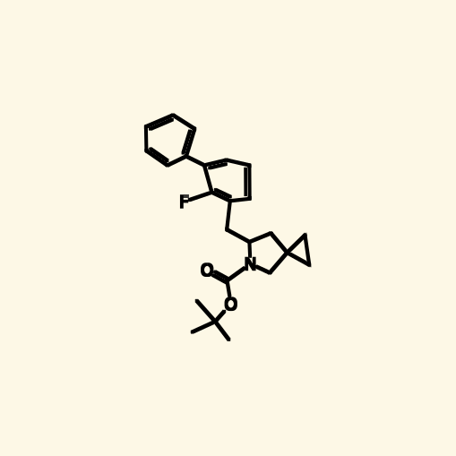 CC(C)(C)OC(=O)N1CC2(CC2)CC1Cc1cccc(-c2ccccc2)c1F